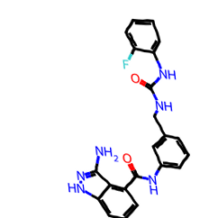 Nc1n[nH]c2cccc(C(=O)Nc3cccc(CNC(=O)Nc4ccccc4F)c3)c12